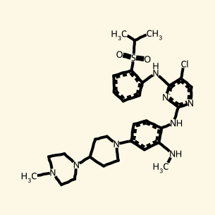 CNc1cc(N2CCC(N3CCN(C)CC3)CC2)ccc1Nc1ncc(Cl)c(Nc2ccccc2S(=O)(=O)C(C)C)n1